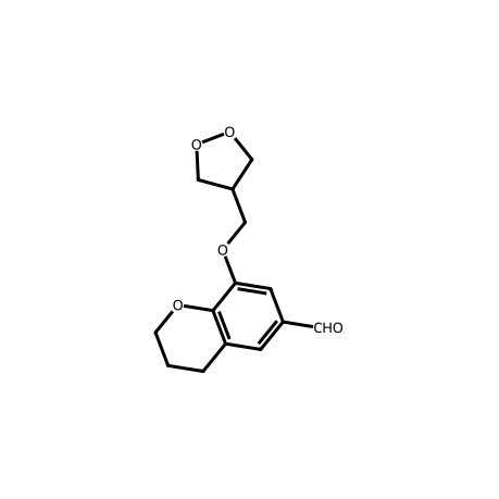 O=Cc1cc2c(c(OCC3COOC3)c1)OCCC2